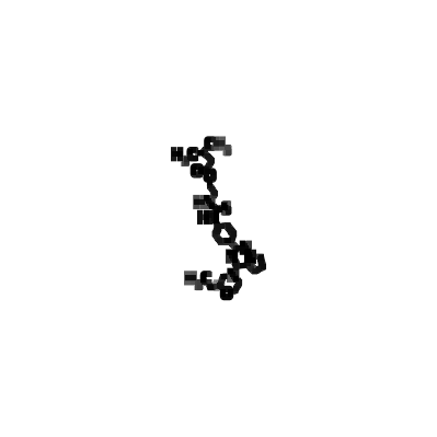 CC[C@H]1CN(c2nc(-c3ccc(NC(=S)NCCOC(=O)CC(C)C)cc3)nn3cccc23)CCO1